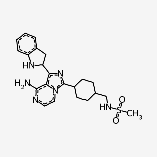 CS(=O)(=O)NCC1CCC(c2nc(C3Cc4ccccc4N3)c3c(N)nccn23)CC1